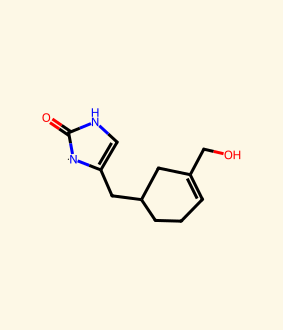 O=C1[N]C(CC2CCC=C(CO)C2)=CN1